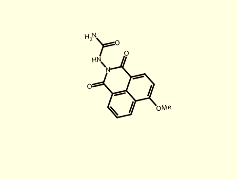 COc1ccc2c3c(cccc13)C(=O)N(NC(N)=O)C2=O